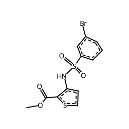 COC(=O)c1sccc1NS(=O)(=O)c1cccc(Br)c1